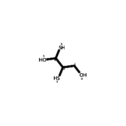 OCC(S)C(O)S